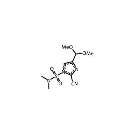 COC(OC)c1cn(S(=O)(=O)N(C)C)c(C#N)n1